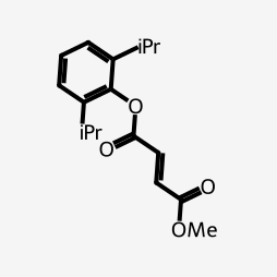 COC(=O)/C=C/C(=O)Oc1c(C(C)C)cccc1C(C)C